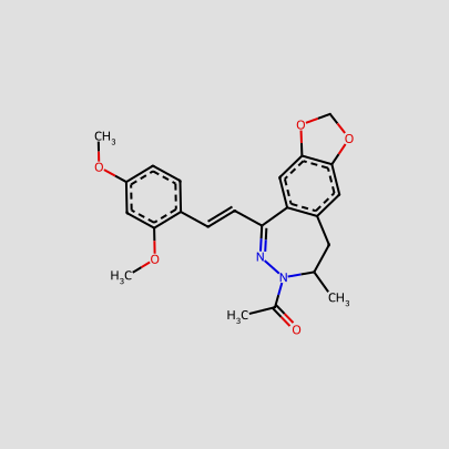 COc1ccc(C=CC2=NN(C(C)=O)C(C)Cc3cc4c(cc32)OCO4)c(OC)c1